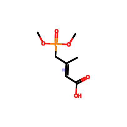 COP(=O)(C/C(C)=C/C(=O)O)OC